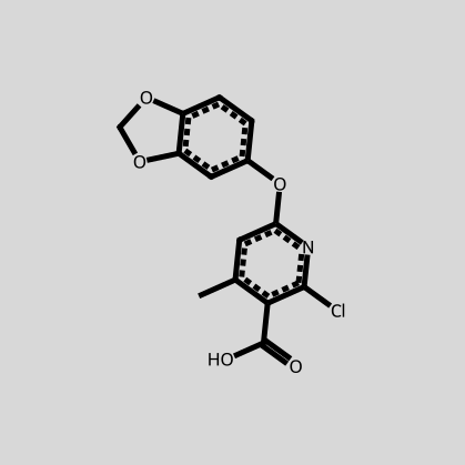 Cc1cc(Oc2ccc3c(c2)OCO3)nc(Cl)c1C(=O)O